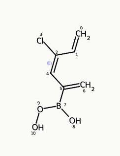 C=C/C(Cl)=C\C(=C)B(O)OO